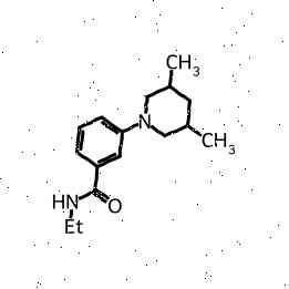 CCNC(=O)c1cccc(N2CC(C)CC(C)C2)c1